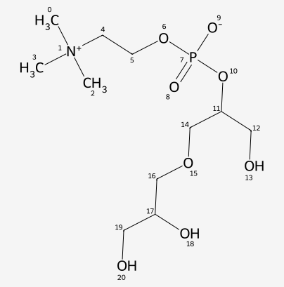 C[N+](C)(C)CCOP(=O)([O-])OC(CO)COCC(O)CO